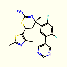 Cc1nc(C)c([C@@H]2C[C@@](C)(c3cc(-c4cncnc4)c(F)cc3F)N=C(N)S2)s1